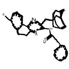 O=C(Cc1ccccc1)Nc1nc2c(nc1CC13CC4CC(CC(C4)C1)C3)-c1ccc(F)cc1CC2